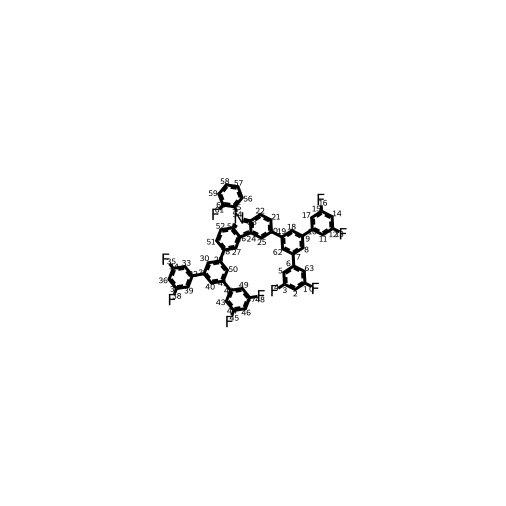 Fc1cc(F)cc(-c2cc(-c3cc(F)cc(F)c3)cc(-c3ccc4c(c3)c3cc(-c5cc(-c6cc(F)cc(F)c6)cc(-c6cc(F)cc(F)c6)c5)ccc3n4-c3ccccc3F)c2)c1